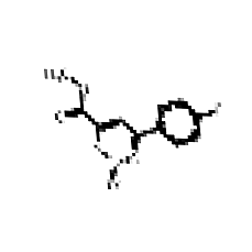 COC(=O)C1=CC(c2ccc(F)cc2)=N[S+]([O-])N1